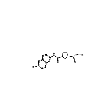 CC(C)(C)OC(=O)N1CCC(C(=O)Nc2ccc3cc(Br)ccc3c2)C1